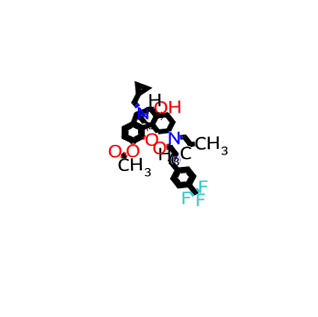 CC(=O)Oc1ccc2c3c1OC1C(N(CC(C)C)C(=O)/C=C/c4ccc(C(F)(F)F)cc4)CC[C@@]4(O)[C@@H](C2)N(CC2CC2)CC[C@]314